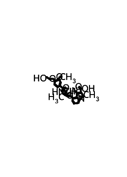 COc1cc(C(=O)NC(C)(C)COc2cccc3nc(C)c(C(=O)O)c(N)c23)ccc1OCCO